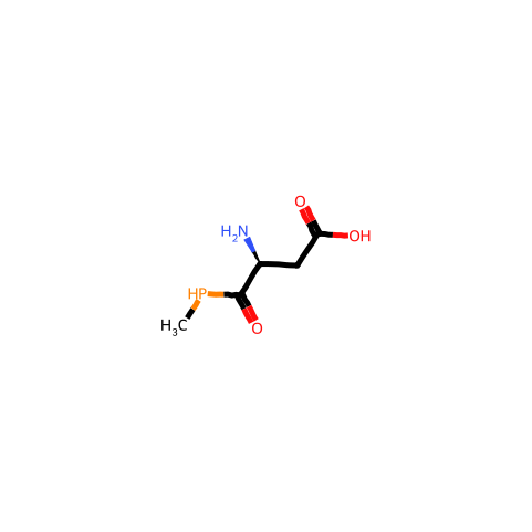 CPC(=O)[C@@H](N)CC(=O)O